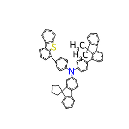 CC1(C)c2ccccc2-c2cccc(-c3ccc(N(c4ccc(-c5cccc6c5sc5ccccc56)cc4)c4ccc5c(c4)C4(CCCC4)c4ccccc4-5)cc3)c21